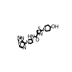 O=C(N[C@H]1CCN(c2nccn3cnnc23)C1)c1csc(N2CCC(O)CC2)n1